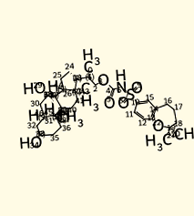 C[C@H](COC(=O)NS(=O)(=O)c1ccc2c(c1)CCCC(C)(C)O2)[C@H]1CC[C@H]2[C@@H]3[C@H](O)C[C@@H]4C[C@H](O)CC[C@]4(C)[C@H]3CC[C@]12C